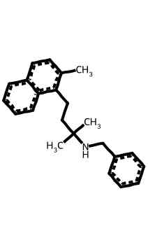 Cc1ccc2ccccc2c1CCC(C)(C)NCc1ccccc1